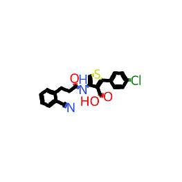 N#Cc1ccccc1CCC(=O)Nc1csc(-c2ccc(Cl)cc2)c1C(=O)O